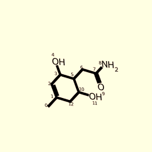 CC1=CC(O)C(CC(N)=O)C(O)C1